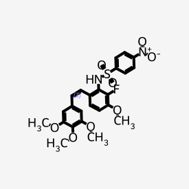 COc1ccc(/C=C\c2cc(OC)c(OC)c(OC)c2)c(NS(=O)(=O)c2ccc([N+](=O)[O-])cc2)c1F